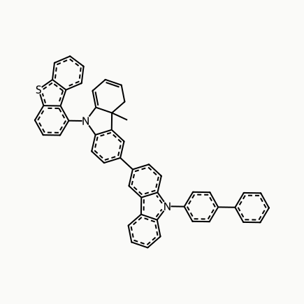 CC12CC=CC=C1N(c1cccc3sc4ccccc4c13)c1ccc(-c3ccc4c(c3)c3ccccc3n4-c3ccc(-c4ccccc4)cc3)cc12